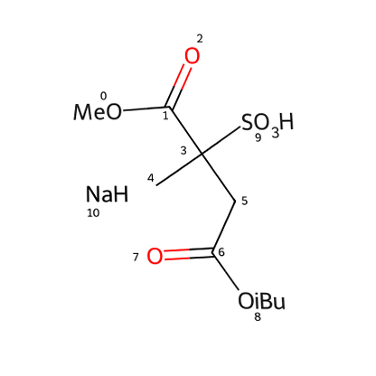 COC(=O)C(C)(CC(=O)OCC(C)C)S(=O)(=O)O.[NaH]